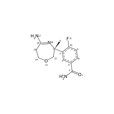 C[C@@]1(c2cc(C(N)=O)ccc2F)COCCC(N)=N1